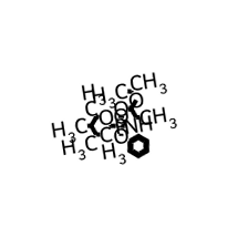 CC(C)OC(=O)C(C)NP(=O)(COC(C)C(C)C(C)C)Oc1ccccc1